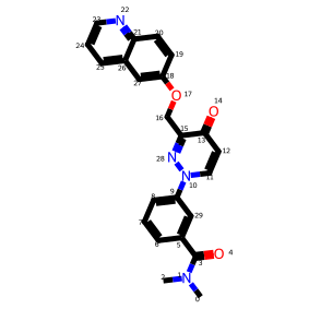 CN(C)C(=O)c1cccc(-n2ccc(=O)c(COc3ccc4ncccc4c3)n2)c1